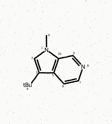 Cn1cc(C(C)(C)C)c2ccncc21